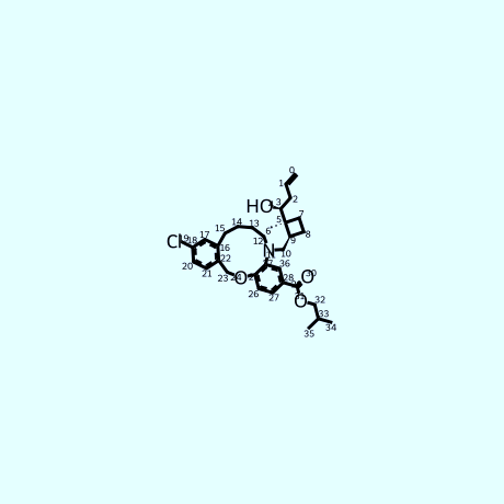 C=CC[C@H](O)[C@@]1(C)CC[C@H]1CN1CCCCc2cc(Cl)ccc2COc2ccc(C(=O)OCC(C)C)cc21